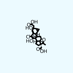 CC(=O)[C@@]1(CC(=O)O)CC[C@H]2[C@@H]3C(O)=C(Cl)C4=CC(O)(CC(=O)O)C5CC5[C@@]4(C)[C@@H]3CC[C@@]21C